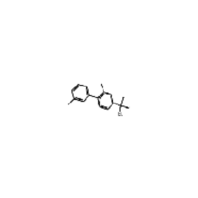 CCC(C)(C)c1ccc(-c2cccc(C)c2)c(C)c1